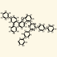 c1ccc(-c2ccc(-c3nc(-c4ccc(-c5ccccc5)cc4)nc(-c4cccc5oc6c(-c7ccc(-c8ccccc8)cc7-c7ccccc7)cccc6c45)n3)cc2)cc1